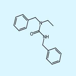 CCN(Cc1ccccc1)C(=O)NCc1ccccc1